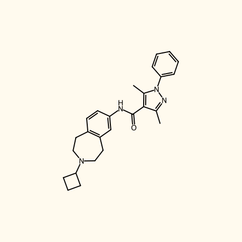 Cc1nn(-c2ccccc2)c(C)c1C(=O)Nc1ccc2c(c1)CCN(C1CCC1)CC2